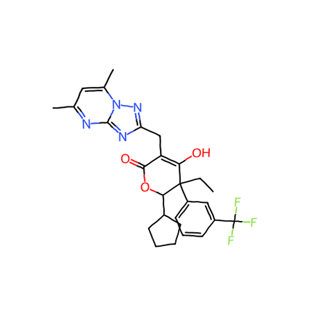 CCC1(c2cccc(C(F)(F)F)c2)C(O)=C(Cc2nc3nc(C)cc(C)n3n2)C(=O)OC1C1CCCC1